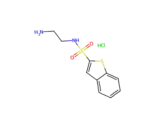 Cl.NCCNS(=O)(=O)c1cc2ccccc2s1